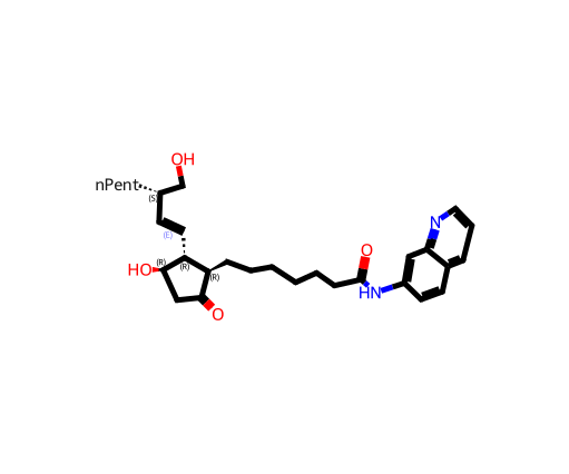 CCCCC[C@@H](/C=C/[C@H]1[C@H](O)CC(=O)[C@@H]1CCCCCCC(=O)Nc1ccc2cccnc2c1)CO